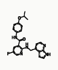 CC(C)Oc1ccc(NC(=O)c2cc(F)cnc2NCc2ccnc3[nH]ccc23)cc1